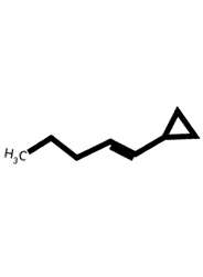 CCCC=CC1CC1